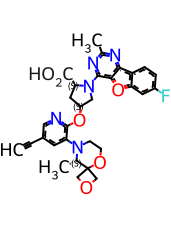 C#Cc1cnc(O[C@H]2C[C@@H](C(=O)O)N(c3nc(C)nc4c3oc3cc(F)ccc34)C2)c(N2CCOC3(COC3)[C@@H]2C)c1